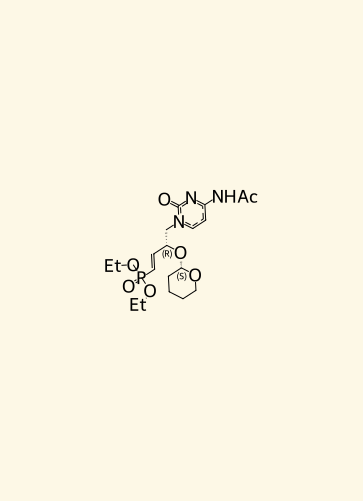 CCOP(=O)(C=C[C@H](Cn1ccc(NC(C)=O)nc1=O)O[C@H]1CCCCO1)OCC